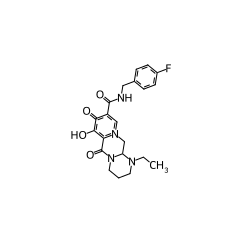 CCN1CCCN2C(=O)c3c(O)c(=O)c(C(=O)NCc4ccc(F)cc4)cn3CC12